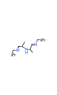 CC(C)CN=CC(C)NC(C)C=NCC(C)C